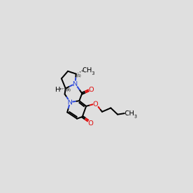 CCCCOc1c2n(ccc1=O)C[C@H]1CC[C@H](C)N1C2=O